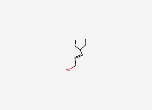 CCC(/C=C/CO)CC